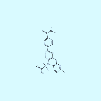 Cc1ccc2c(n1)Oc1nc(-c3ccc(C(=O)N(C)C)cc3)ccc1[C@H]2C(C)(C)C(=O)O